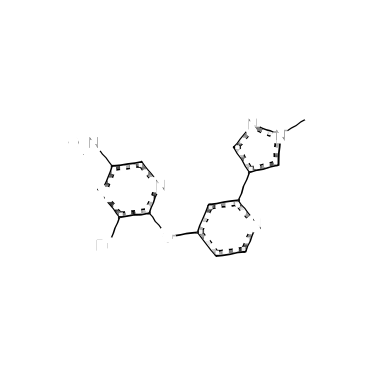 CCc1nc([N+](=O)[O-])cnc1Oc1ccnc(-c2cnn(C)c2)c1